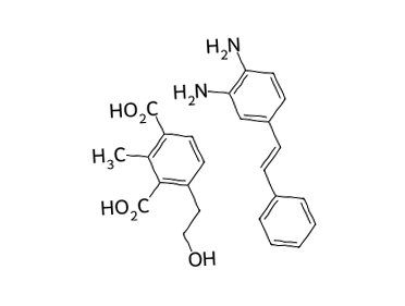 Cc1c(C(=O)O)ccc(CCO)c1C(=O)O.Nc1ccc(C=Cc2ccccc2)cc1N